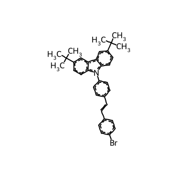 CC(C)(C)c1ccc2c(c1)c1cc(C(C)(C)C)ccc1n2-c1ccc(C=Cc2ccc(Br)cc2)cc1